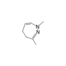 CC1=NN(C)C=CCC1